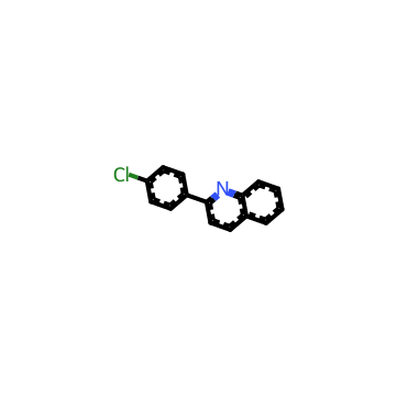 Clc1ccc(-c2ccc3ccccc3n2)cc1